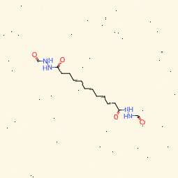 O=CNNC(=O)CCCCCCCCCCC(=O)NNC=O